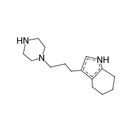 c1[nH]c2c(c1CCCN1CCNCC1)CCCC2